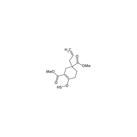 C=CCC1(C(=O)OC)CCC(OS)=C(C(=O)OC)C1